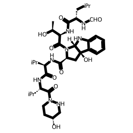 CC(C)C[C@H](NC=O)C(=O)N[C@@H](C(=O)N1[C@H](C(=O)N[C@@H](C(=O)N[C@H](C(=O)N2CC[C@@H](O)CN2)C(C)C)C(C)C)C[C@@]2(O)c3ccccc3N[C@@H]12)[C@H](C)O